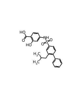 CC(C)Cc1cc(S(=O)(=O)Nc2ccc(C(=O)O)c(O)c2)ccc1-c1ccccc1